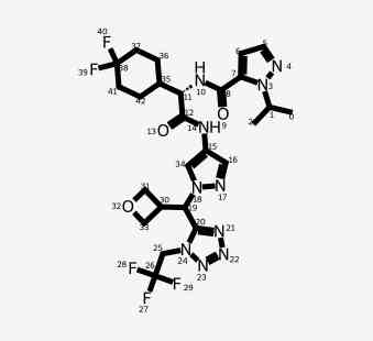 CC(C)n1nccc1C(=O)N[C@H](C(=O)Nc1cnn(C(c2nnnn2CC(F)(F)F)C2COC2)c1)C1CCC(F)(F)CC1